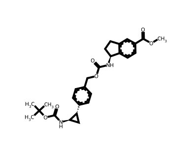 COC(=O)c1ccc2c(c1)CC[C@@H]2NC(=O)OCc1ccc([C@@H]2C[C@H]2NC(=O)OC(C)(C)C)cc1